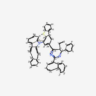 CCC1C(c2ccccc2)=NC(c2cccc3ccccc23)=NC1c1cc(-n2c3ccccc3c3cc4ccccc4cc32)c2sc3ccccc3c2c1